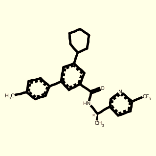 Cc1ccc(-c2cc(C(=O)N[C@H](C)c3ccc(C(F)(F)F)nc3)cc(C3CCCCC3)c2)cc1